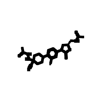 CC(=O)NC[C@H]1CN(c2ccc(N3CCC(C#N)(NNC(C)=O)CC3)c(F)c2)C(=O)O1